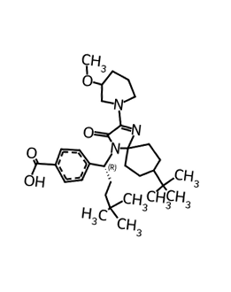 COC1CCCN(C2=NC3(CCC(C(C)(C)C)CC3)N([C@H](CCC(C)(C)C)c3ccc(C(=O)O)cc3)C2=O)C1